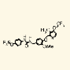 COc1cc(CNC(=O)Nc2ccc(OC(F)(F)F)cc2)ccc1OCc1nccc(OCC(F)(F)F)c1C